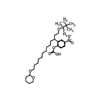 CC(C)(C)[Si](C)(C)OCCC(CCCCCCCCCCOC1CCCCO1)c1cc([N+](=O)[O-])ccc1OC(=O)O